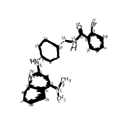 CN(C)c1cc(N[C@H]2CC[C@@H](CNC(=O)c3ccccc3Br)CC2)nc2ccccc12